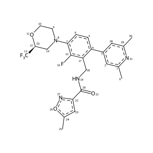 Cc1cc(-c2ccc(N3CCO[C@H](C(F)(F)F)C3)c(F)c2CNC(=O)c2cc(C)on2)cc(C)n1